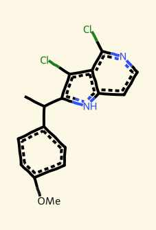 COc1ccc(C(C)c2[nH]c3ccnc(Cl)c3c2Cl)cc1